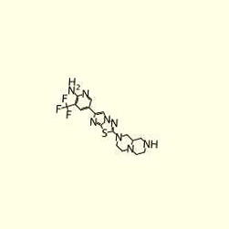 Nc1ncc(-c2cn3nc(N4CCN5CCNCC5C4)sc3n2)cc1C(F)(F)F